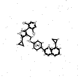 Clc1cncc(Cl)c1-c1noc(C2CC2)c1COC12CCC(c3ccc4cccc(C5CC5)c4n3)(CC1)CC2